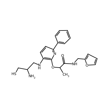 CC(Oc1nc(-c2ccccc2)ccc1NCC(N)CS)C(=O)NCc1ccco1